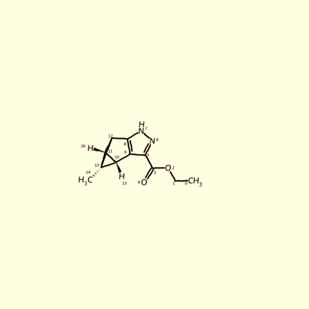 CCOC(=O)c1n[nH]c2c1[C@H]1[C@H]3C2[C@]31C